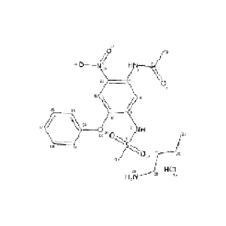 CC(=O)Nc1cc(NS(C)(=O)=O)c(Oc2ccccc2)cc1[N+](=O)[O-].CCCCN.Cl